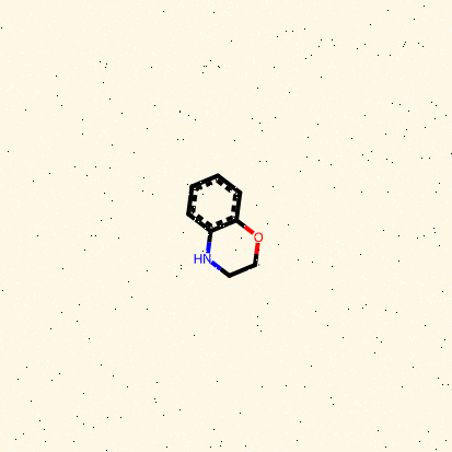 [CH]1CNc2ccccc2O1